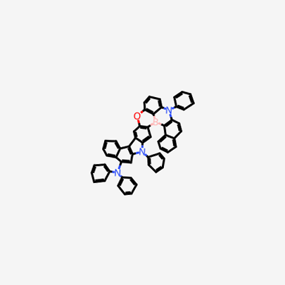 c1ccc(N2c3cccc4c3B(c3cc5c(cc3O4)c3c4ccccc4c(N(c4ccccc4)c4ccccc4)cc3n5-c3ccccc3)c3c2ccc2ccccc32)cc1